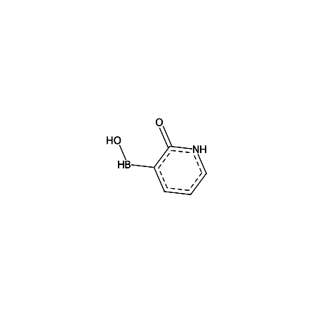 O=c1[nH]cccc1BO